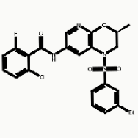 CCc1cccc(S(=O)(=O)N2C[C@H](C)Oc3ncc(NC(=O)c4c(F)cccc4Cl)cc32)c1